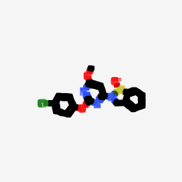 COc1cc(N2Cc3ccccc3[S+]2[O-])nc(Oc2ccc(Cl)cc2)n1